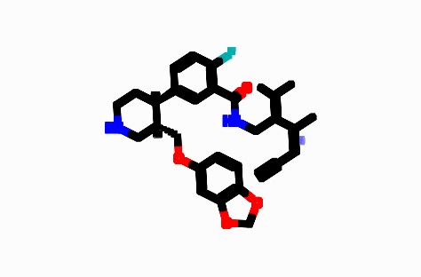 C#C/C=C(/C)C(CNC(=O)c1cc([C@@H]2CCNC[C@H]2COc2ccc3c(c2)OCO3)ccc1F)=C(C)C